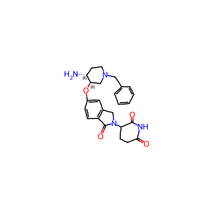 N[C@@H]1CCN(Cc2ccccc2)C[C@H]1Oc1ccc2c(c1)CN(C1CCC(=O)NC1=O)C2=O